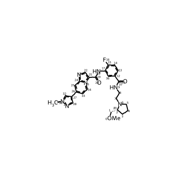 COC[C@H]1CCCN1CCNC(=O)c1ccc(F)c(NC(=O)c2cnc3cc(-c4cnn(C)c4)ccn23)c1